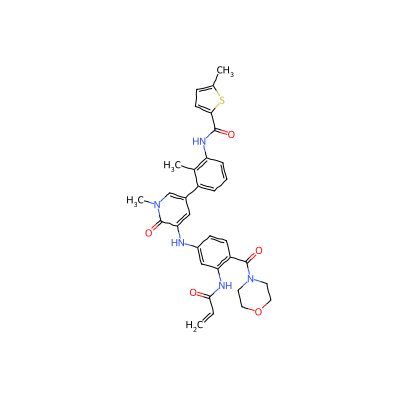 C=CC(=O)Nc1cc(Nc2cc(-c3cccc(NC(=O)c4ccc(C)s4)c3C)cn(C)c2=O)ccc1C(=O)N1CCOCC1